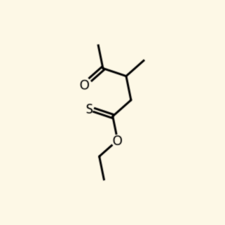 CCOC(=S)CC(C)C(C)=O